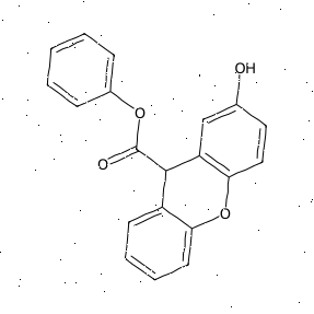 O=C(Oc1ccccc1)C1c2ccccc2Oc2ccc(O)cc21